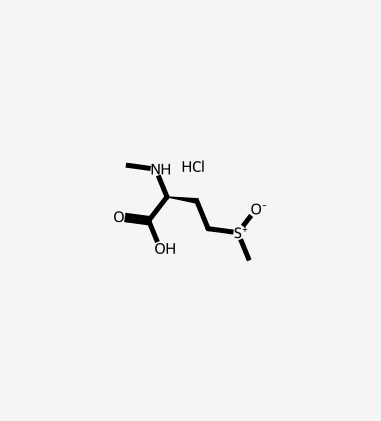 CN[C@@H](CC[S+](C)[O-])C(=O)O.Cl